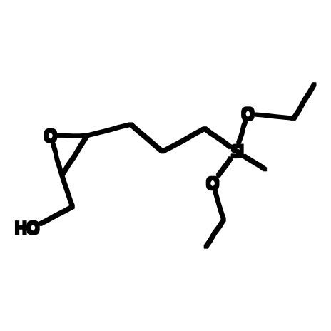 CCO[Si](C)(CCCC1OC1CO)OCC